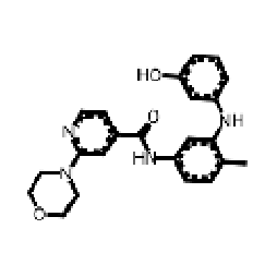 Cc1ccc(NC(=O)c2ccnc(N3CCOCC3)c2)cc1Nc1cccc(O)c1